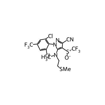 CSCCN(C)c1c([S+]([O-])C(F)(F)F)c(C#N)nn1-c1c(Cl)cc(C(F)(F)F)cc1Cl